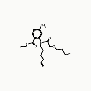 C=CCCCCN(C(=O)COCCCC)c1cc(N)ccc1C(=O)OCC